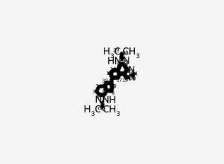 CC(C)c1nc2c([nH]1)-c1ccc(-c3ccc4c(c3)c3cncnc3c3nc(C(C)C)[nH]c43)cc1CC2